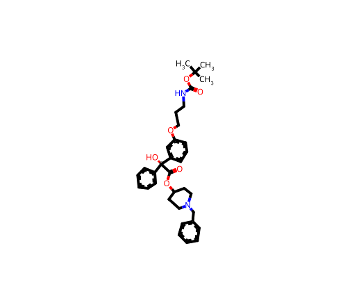 CC(C)(C)OC(=O)NCCCOc1cccc([C@](O)(C(=O)OC2CCN(Cc3ccccc3)CC2)c2ccccc2)c1